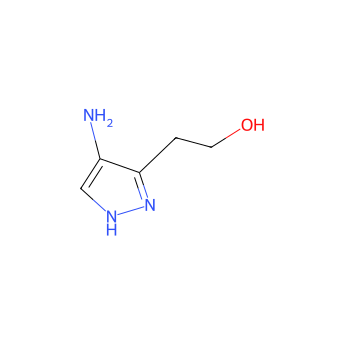 Nc1c[nH]nc1CCO